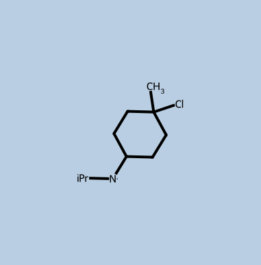 CC(C)[N]C1CCC(C)(Cl)CC1